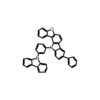 c1ccc(-c2ccc3c(c2)c2ccc4oc5ccccc5c4c2n3-c2cccc(-n3c4ccccc4c4ccccc43)c2)cc1